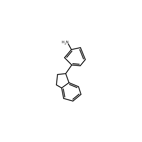 Nc1cccc(C2CCc3ccccc32)c1